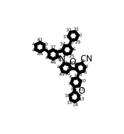 N#Cc1ccc(-c2ccc3c(c2)oc2ccccc23)c2c1oc1c(-n3c4ccc(-c5ccccc5)cc4c4cc(-c5ccccc5)ccc43)cccc12